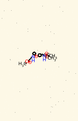 CCOC(=O)CCCNc1ccccc1Oc1ccc(CNC(=O)OC(C)(C)C)cc1